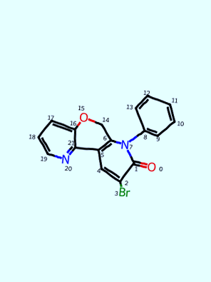 O=c1c(Br)cc2c(n1-c1ccccc1)COc1cccnc1-2